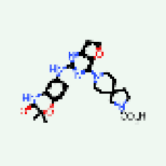 CC1(C)Oc2ccc(Nc3nc(N4CCC5(CCN(C(=O)O)C5)CC4)c4occc4n3)cc2NC1=O